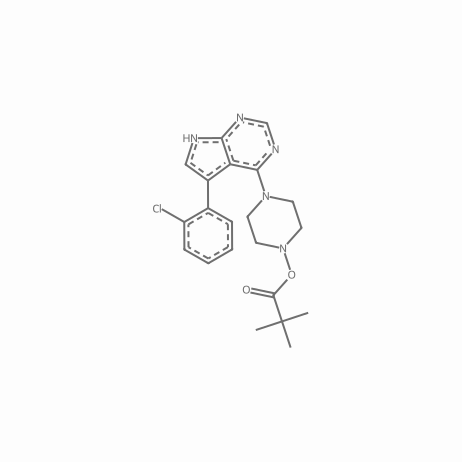 CC(C)(C)C(=O)ON1CCN(c2ncnc3[nH]cc(-c4ccccc4Cl)c23)CC1